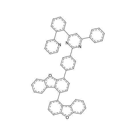 c1ccc(-c2cc(-c3ccccc3-c3ccccn3)nc(-c3ccc(-c4ccc(-c5cccc6oc7ccccc7c56)c5c4oc4ccccc45)cc3)n2)cc1